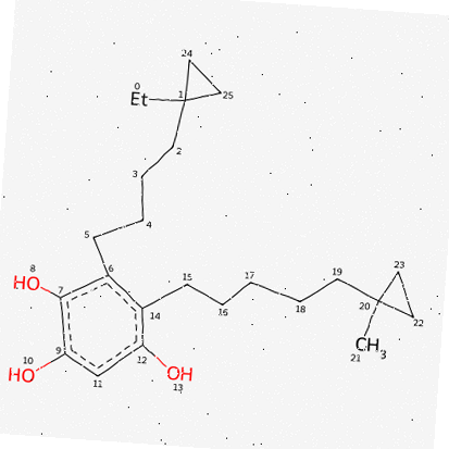 CCC1(CCCCc2c(O)c(O)cc(O)c2CCCCCC2(C)CC2)CC1